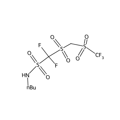 CCCCNS(=O)(=O)C(F)(F)S(=O)(=O)CS(=O)(=O)C(F)(F)F